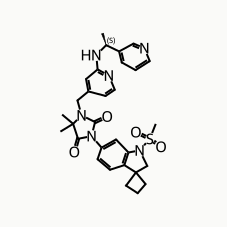 C[C@H](Nc1cc(CN2C(=O)N(c3ccc4c(c3)N(S(C)(=O)=O)CC43CCC3)C(=O)C2(C)C)ccn1)c1cccnc1